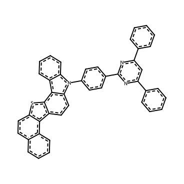 c1ccc(-c2cc(-c3ccccc3)nc(-c3ccc(-n4c5ccccc5c5c6sc7ccc8ccccc8c7c6ccc54)cc3)n2)cc1